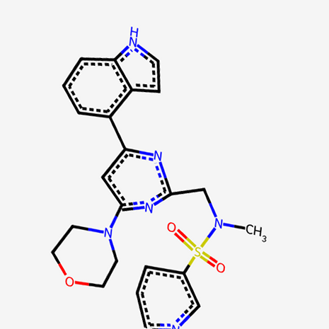 CN(Cc1nc(-c2cccc3[nH]ccc23)cc(N2CCOCC2)n1)S(=O)(=O)c1cccnc1